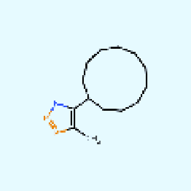 CC1=C(C2CCCCCCCCCC2)[N]P=P1